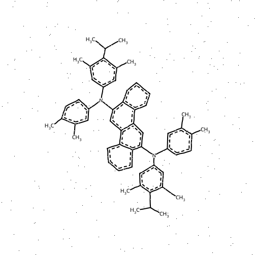 Cc1ccc(N(c2cc(C)c(C(C)C)c(C)c2)c2cc3c4ccccc4c(N(c4ccc(C)c(C)c4)c4cc(C)c(C(C)C)c(C)c4)cc3c3ccccc23)cc1C